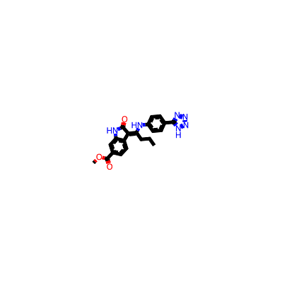 CCC/C(Nc1ccc(-c2nnn[nH]2)cc1)=C1/C(=O)Nc2cc(C(=O)OC)ccc21